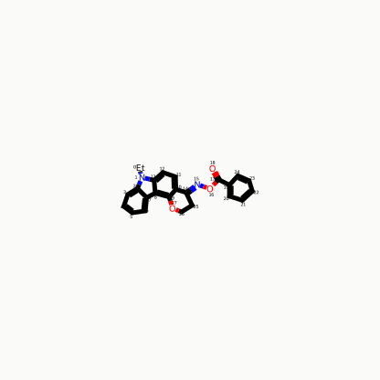 CCn1c2ccccc2c2c3c(ccc21)/C(=N/OC(=O)c1ccccc1)CCO3